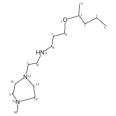 CCCC(C)OCCCNCCN1CCN(C)CC1